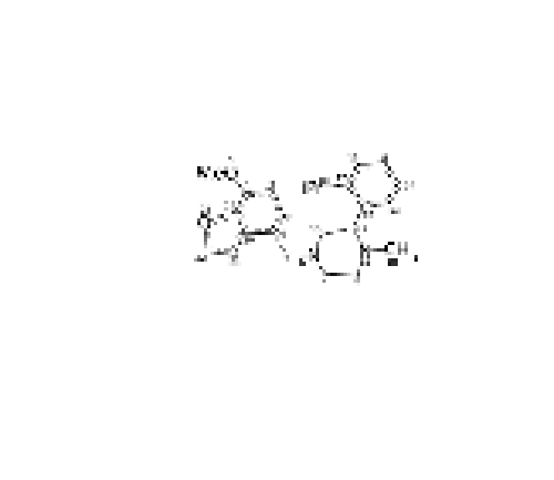 COc1ccc(CN2CCN(C)C(c3ccccc3C(C)C)C2)c2ccoc12